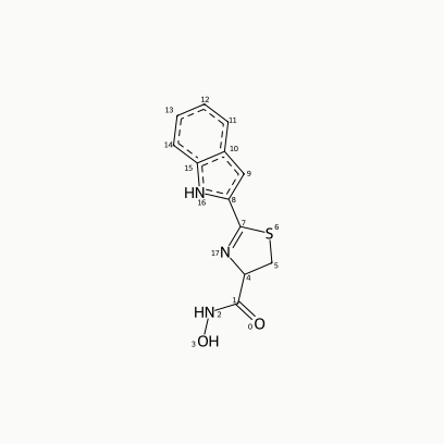 O=C(NO)C1CSC(c2cc3ccccc3[nH]2)=N1